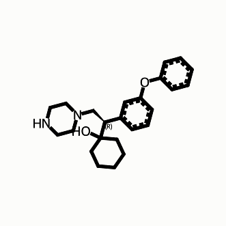 OC1([C@@H](CN2CCNCC2)c2cccc(Oc3ccccc3)c2)CCCCC1